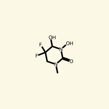 CN1CC(F)(F)C(O)N(O)C1=O